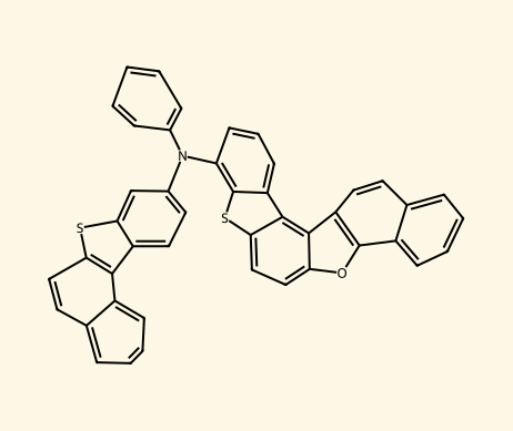 c1ccc(N(c2ccc3c(c2)sc2ccc4ccccc4c23)c2cccc3c2sc2ccc4oc5c6ccccc6ccc5c4c23)cc1